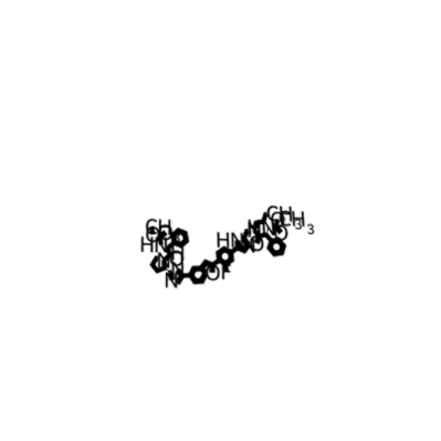 CCCCN(Cc1ncc(-c2ccc(-c3cc4cc(-c5cnc([C@@H]6CCCN6C(=O)C(NC(=O)OC)c6ccccc6)[nH]5)ccc4o3)c(F)c2)[nH]1)C(=O)[C@H](NC(=O)OC)c1ccccc1